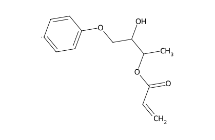 C=CC(=O)OC(C)C(O)COc1cc[c]cc1